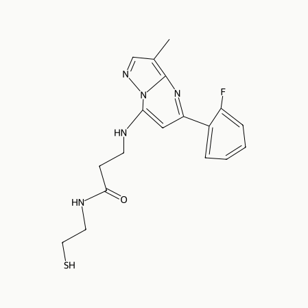 Cc1cnn2c(NCCC(=O)NCCS)cc(-c3ccccc3F)nc12